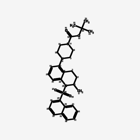 CC1CCc2c(N3CCN(C(=O)OC(C)(C)C)CC3)cccc2N1S(=O)(=O)c1cccc2ccccc12